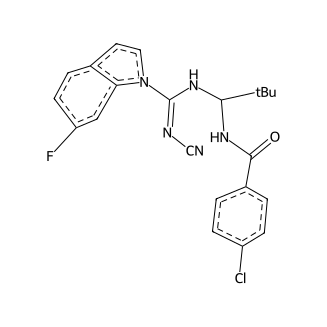 CC(C)(C)C(NC(=O)c1ccc(Cl)cc1)NC(=NC#N)n1ccc2ccc(F)cc21